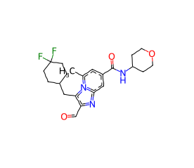 Cc1cc(C(=O)NC2CCOCC2)cc2nc(C=O)c(CC3CCC(F)(F)CC3)n12